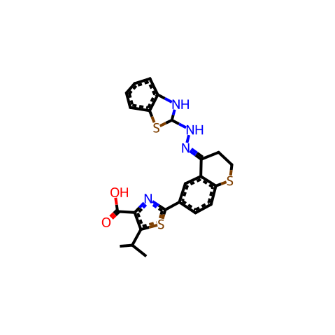 CC(C)c1sc(-c2ccc3c(c2)/C(=N/NC2Nc4ccccc4S2)CCS3)nc1C(=O)O